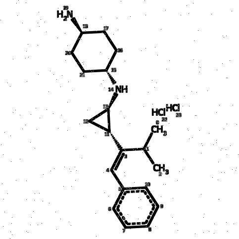 CC(C)/C(=C\c1ccccc1)[C@@H]1C[C@H]1N[C@H]1CC[C@H](N)CC1.Cl.Cl